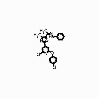 CC(=NNc1ccccc1)c1sc(-c2cc(Cl)nc(Oc3ccc(Cl)cc3)c2)nc1C